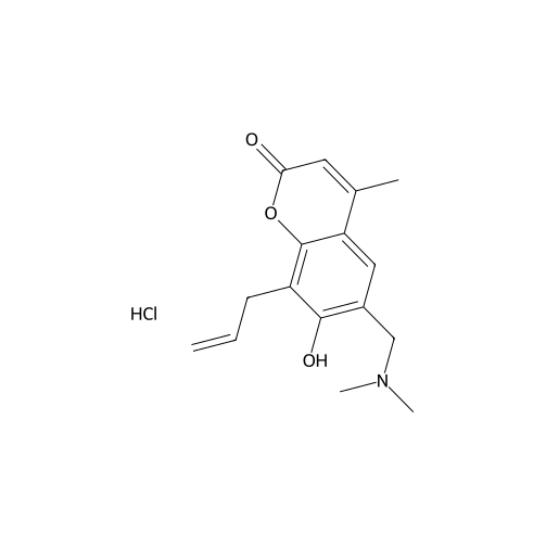 C=CCc1c(O)c(CN(C)C)cc2c(C)cc(=O)oc12.Cl